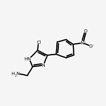 NCc1nc(-c2ccc([N+](=O)[O-])cc2)c(Cl)[nH]1